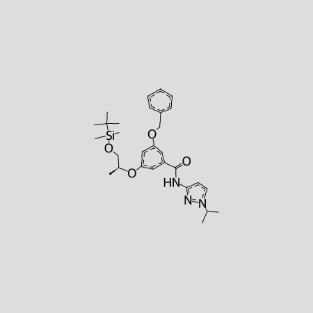 CC(C)n1ccc(NC(=O)c2cc(OCc3ccccc3)cc(O[C@@H](C)CO[Si](C)(C)C(C)(C)C)c2)n1